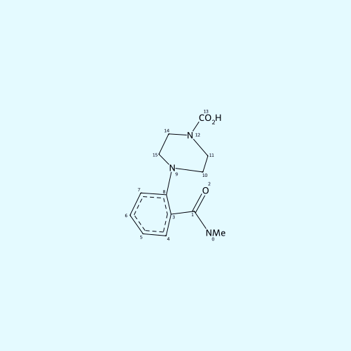 CNC(=O)c1ccccc1N1CCN(C(=O)O)CC1